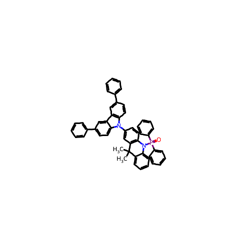 CC1(C)c2ccccc2N(P(=O)(c2ccccc2)c2ccccc2)c2ccc(-n3c4ccc(-c5ccccc5)cc4c4cc(-c5ccccc5)ccc43)cc21